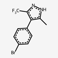 Cc1[nH]nc(C(F)(F)F)c1-c1ccc(Br)cc1